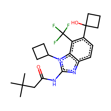 CC(C)(C)CC(=O)Nc1nc2ccc(C3(O)CCC3)c(C(F)(F)F)c2n1C1CCC1